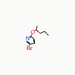 CCCC(C)Oc1ccc(Br)cn1